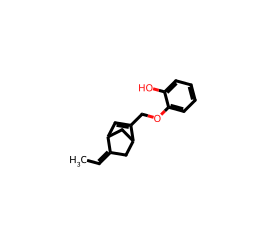 CC=C1CC2CC1C=C2COc1ccccc1O